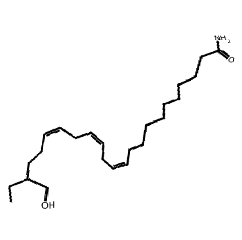 CCC(CO)CC/C=C\C/C=C\C/C=C\CCCCCCCCCC(N)=O